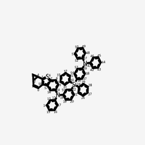 C1=CC2CC2c2sc3ccc(N(c4ccccc4)c4cccc([Si](c5ccccc5)(c5ccccc5)c5ccc(N(c6ccccc6)c6ccccc6)cc5)c4)cc3c21